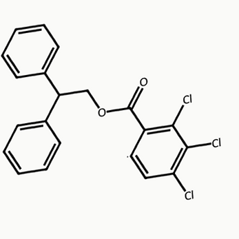 O=C(OCC(c1ccccc1)c1ccccc1)c1[c]cc(Cl)c(Cl)c1Cl